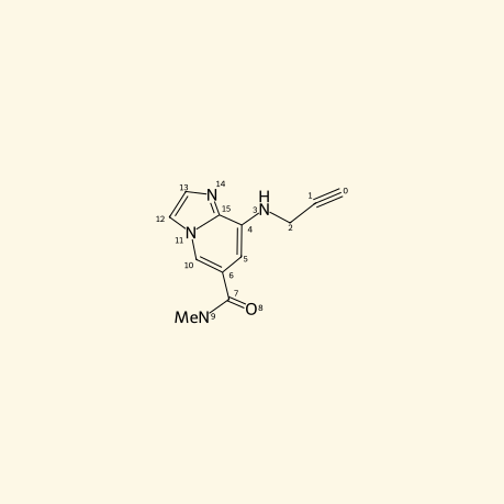 C#CCNc1cc(C(=O)NC)cn2ccnc12